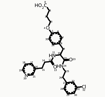 O=C(O)CCCOc1ccc(CC(NC(=O)CCc2cccnc2)C(=O)NCCc2cccc(Cl)c2)cc1